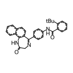 CC(C)(C)c1ccccc1C(=O)Nc1ccc(C2=NCC(=O)Nc3c2ccc2ccccc32)cc1